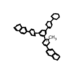 CN1CC(c2ccc3ccccc3c2)=CC=C1c1cc(C2=CC=C(C3CCCCC3)CC2)cc(-c2ccc(-c3ccc4c(c3)CCC=C4)cc2)c1